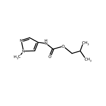 CC(C)COC(=O)Nc1cnn(C)c1